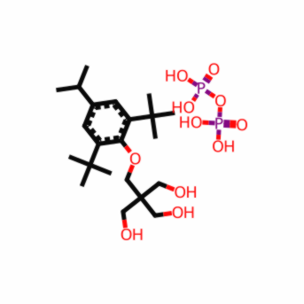 CC(C)c1cc(C(C)(C)C)c(OCC(CO)(CO)CO)c(C(C)(C)C)c1.O=P(O)(O)OP(=O)(O)O